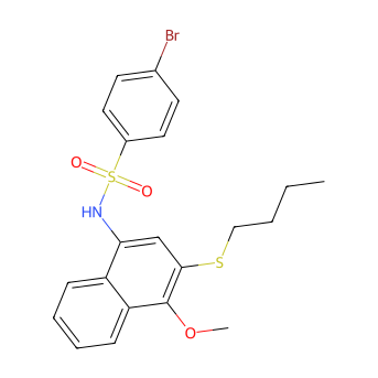 CCCCSc1cc(NS(=O)(=O)c2ccc(Br)cc2)c2ccccc2c1OC